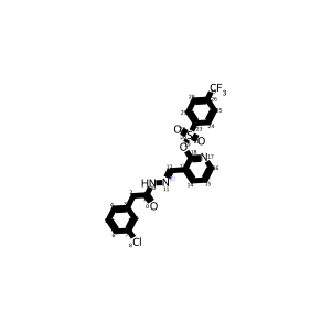 O=C(Cc1cccc(Cl)c1)N/N=C/c1cccnc1OS(=O)(=O)c1ccc(C(F)(F)F)cc1